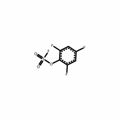 O=S(=O)(F)Oc1c(F)cc(F)cc1F